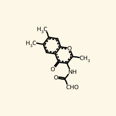 Cc1cc2oc(C)c(NC(=O)C=O)c(=O)c2cc1C